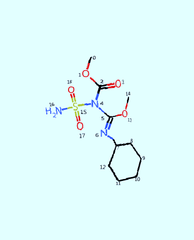 COC(=O)N(C(=NC1CCCCC1)OC)S(N)(=O)=O